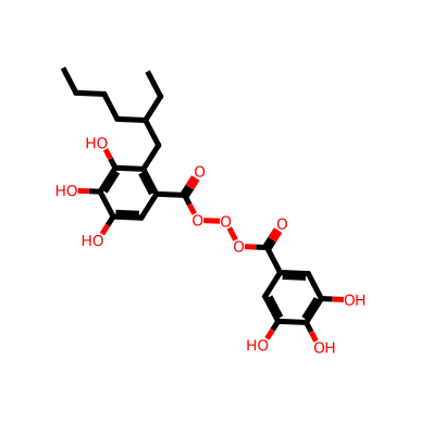 CCCCC(CC)Cc1c(C(=O)OOOC(=O)c2cc(O)c(O)c(O)c2)cc(O)c(O)c1O